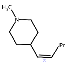 CC(C)/C=C\C1CCN(C)CC1